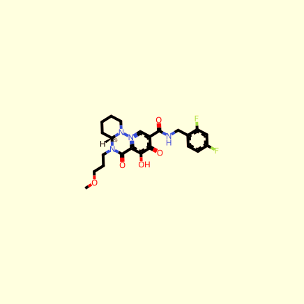 COCCCN1C(=O)c2c(O)c(=O)c(C(=O)NCc3ccc(F)cc3F)cn2N2CCCC[C@@H]12